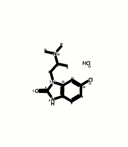 CC(Cn1c(=O)[nH]c2ccc(Cl)cc21)N(C)C.Cl